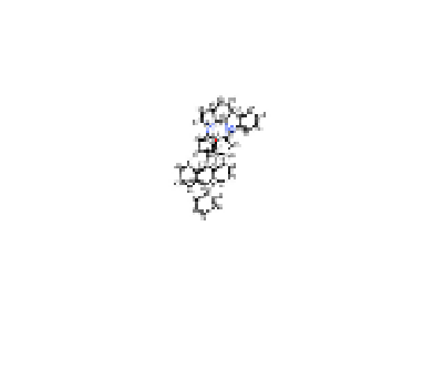 c1ccc(-c2c3ccccc3c(-c3ccc(-n4ccc5ccc6c7ccccc7n(-c7ccccc7)c6c54)cc3)c3ccccc23)cc1